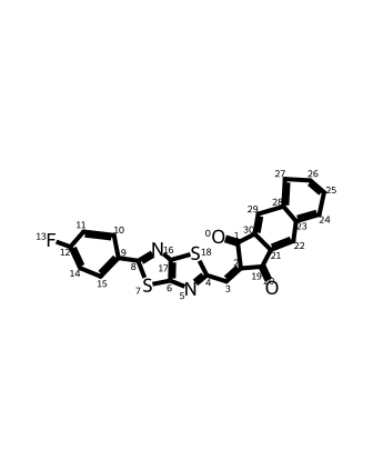 O=C1C(=Cc2nc3sc(-c4ccc(F)cc4)nc3s2)C(=O)c2cc3ccccc3cc21